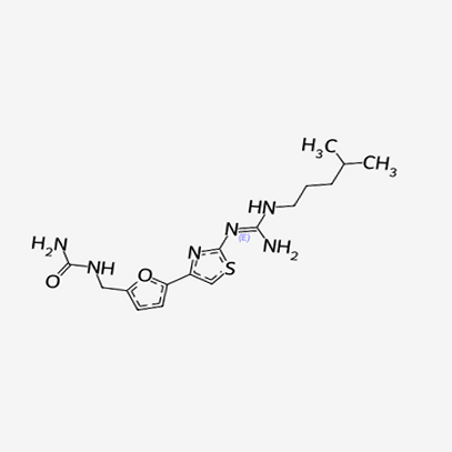 CC(C)CCCN/C(N)=N/c1nc(-c2ccc(CNC(N)=O)o2)cs1